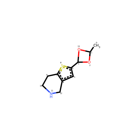 CC1OC(c2cc3c(s2)CCNC3)O1